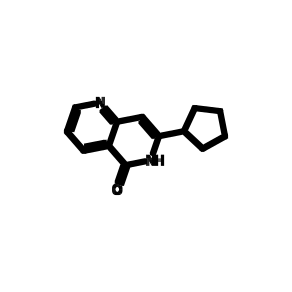 O=c1[nH]c(C2CCCC2)cc2ncccc12